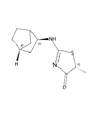 C[C@H]1SC(N[C@H]2C[C@@H]3CCC2C3)=NC1=O